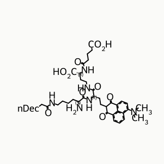 CCCCCCCCCCCC(=O)NCCCC[C@H](N)C(=O)N[C@H](CCC1C(=O)c2cccc3c(N(C)C)ccc(c23)C1=O)C(=O)NCC[C@@H](NC(=O)CCCC(=O)O)C(=O)O